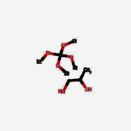 CC(O)CO.CCO[Si](OCC)(OCC)OCC